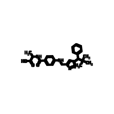 CC(NC(=O)c1ccc(NCc2cn(C(c3ccccc3)C(C)(C)C)nn2)cc1)C(=O)O